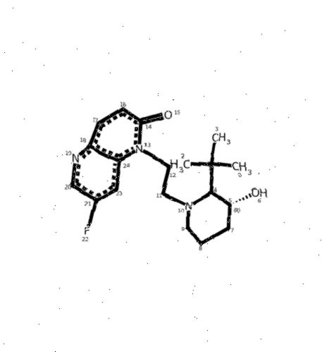 CC(C)(C)C1[C@H](O)[CH]CCN1CCn1c(=O)ccc2ncc(F)cc21